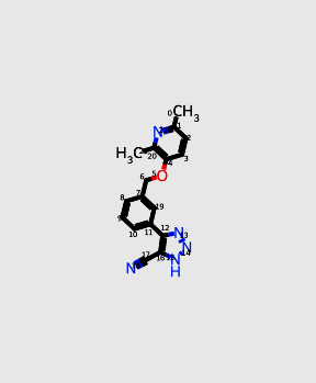 Cc1ccc(OCc2cccc(-c3nn[nH]c3C#N)c2)c(C)n1